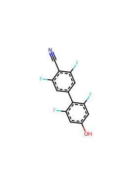 N#Cc1c(F)cc(-c2c(F)cc(O)cc2F)cc1F